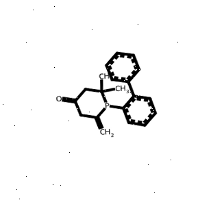 C=C1CC(=O)CC(C)(C)P1c1ccccc1-c1ccccc1